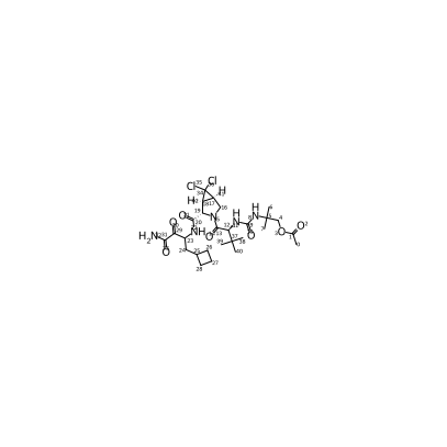 CC(=O)OCC(C)(C)NC(=O)N[C@H](C(=O)N1C[C@H]2[C@@H]([C@H]1C(=O)NC(CC1CCC1)C(=O)C(N)=O)C2(Cl)Cl)C(C)(C)C